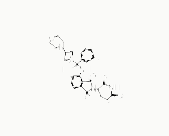 CC(Nc1cccc2c1C(=O)N(C1CCC(=O)NC1=O)C2=O)(c1ccccc1)N1CC(N2CCOCC2)C1